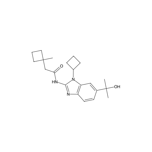 CC1(CC(=O)Nc2nc3ccc(C(C)(C)O)cc3n2C2CCC2)CCC1